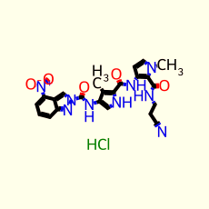 Cc1c(NC(=O)n2cc3c([N+](=O)[O-])cccc3n2)c[nH]c1C(=O)Nc1ccn(C)c1C(=O)NCCC#N.Cl